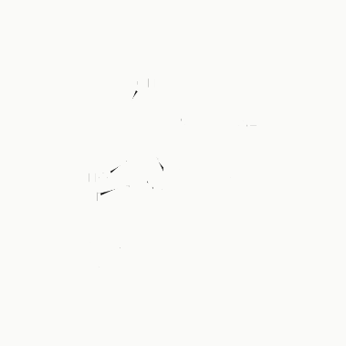 Oc1ccc2c3c1OC1[C@H](O)CC[C@@]4(O)[C@@H](C2)N(CC2CC2)CC[C@]314